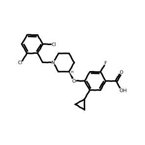 O=C(O)c1cc(C2CC2)c(O[C@@H]2CCCN(Cc3c(Cl)cccc3Cl)C2)cc1F